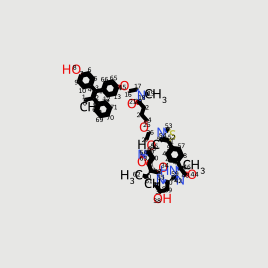 CC/C(=C(\c1ccc(O)cc1)c1ccc(OCCN(C)C(=O)CCCOCCOc2cc([C@@H](C(=O)N3C[C@H](O)C[C@H]3C3=NC(=O)[C@@](C)(c4ccc(-c5scnc5C)cc4)N3)C(C)C)on2)cc1)c1ccccc1